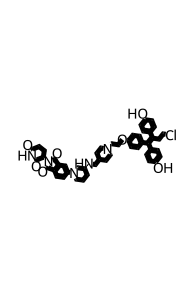 O=C1CCC(N2C(=O)c3ccc(N4CCC[C@@H](NCC5CCN(CCOc6ccc(C(=C(CCCl)c7ccc(O)cc7)c7ccc(O)cc7)cc6)CC5)C4)cc3C2=O)C(=O)N1